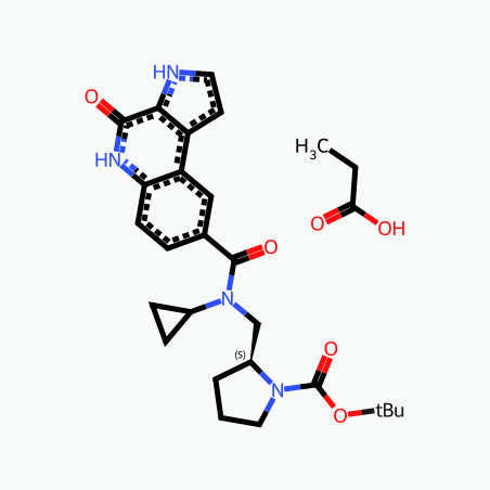 CC(C)(C)OC(=O)N1CCC[C@H]1CN(C(=O)c1ccc2[nH]c(=O)c3[nH]ccc3c2c1)C1CC1.CCC(=O)O